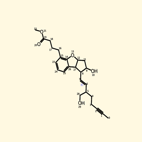 CC#CCCC(/C=C/C1C(O)CC2Oc3c(CCCC(=O)OC)cccc3C21)CO